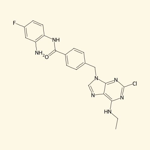 CCNc1nc(Cl)nc2c1ncn2Cc1ccc(C(=O)Nc2ccc(F)cc2N)cc1